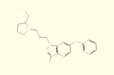 COCC1CCCN1CCCn1nc(N)c2ccc(Nc3ccccc3)cc21